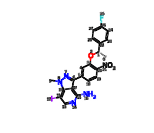 C[C@H](Oc1cc(-c2nn(C)c3c(I)cnc(N)c23)ccc1[N+](=O)[O-])c1ccc(F)cc1